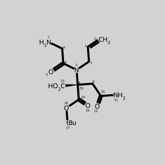 C=CCN(C(=O)CN)[C@@](CC(N)=O)(C(=O)O)C(=O)OC(C)(C)C